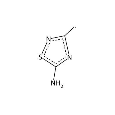 [CH2]c1nsc(N)n1